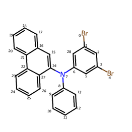 Brc1cc(Br)cc(N(c2ccccc2)c2cc3ccccc3c3ccccc23)c1